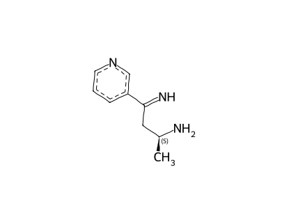 C[C@H](N)CC(=N)c1cccnc1